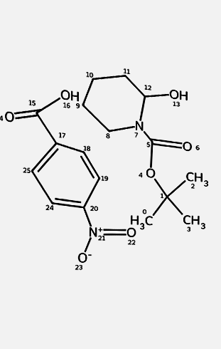 CC(C)(C)OC(=O)N1CCCCC1O.O=C(O)c1ccc([N+](=O)[O-])cc1